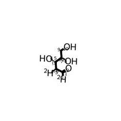 [2H]C(=O)[C@@H]([2H])[C@H](O)[C@H](O)CO